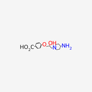 NC1CCN(CC(O)COc2ccc(C(=O)O)cc2)CC1